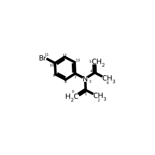 C=C(C)N(C(=C)C)c1ccc(Br)cc1